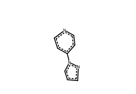 [c]1cnn(-c2ccncc2)c1